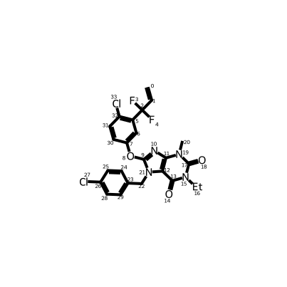 C=CC(F)(F)c1cc(Oc2nc3c(c(=O)n(CC)c(=O)n3C)n2Cc2ccc(Cl)cc2)ccc1Cl